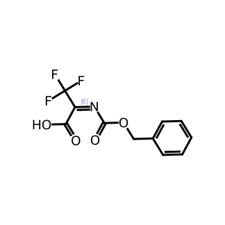 O=C(/N=C(\C(=O)O)C(F)(F)F)OCc1ccccc1